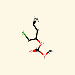 C=CCC(CCl)OC(=O)OC(C)(C)C